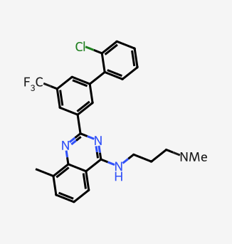 CNCCCNc1nc(-c2cc(-c3ccccc3Cl)cc(C(F)(F)F)c2)nc2c(C)cccc12